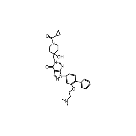 CN(C)CCOc1cc(-n2ncc3c(=O)n(CC4(O)CCN(C(=O)C5CC5)CC4)cnc32)ccc1-c1ccccc1